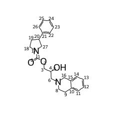 O=C(OC[C@@H](O)CN1CCc2ccccc2C1)N1CCC(c2ccccc2)C1